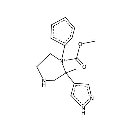 COC(=O)[N+]1(c2ccccc2)CCNCC1(C)c1cn[nH]c1